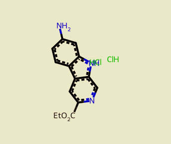 CCOC(=O)c1cc2c(cn1)[nH]c1cc(N)ccc12.Cl.Cl